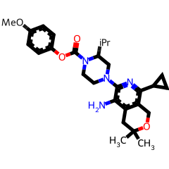 COc1ccc(OC(=O)N2CCN(c3nc(C4CC4)c4c(c3N)CC(C)(C)OC4)CC2C(C)C)cc1